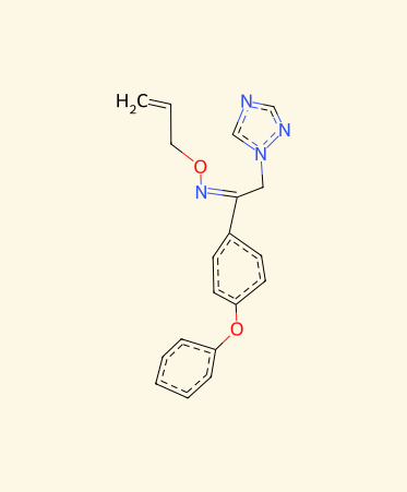 C=CCON=C(Cn1cncn1)c1ccc(Oc2ccccc2)cc1